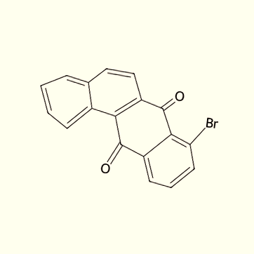 O=C1c2ccc3ccccc3c2C(=O)c2cccc(Br)c21